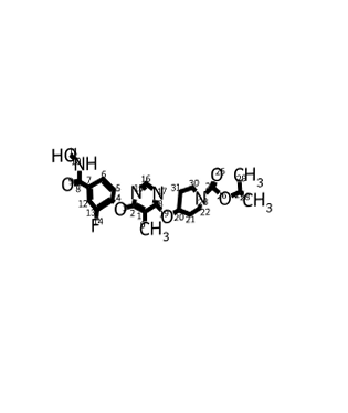 Cc1c(Oc2ccc(C(=O)NO)cc2F)ncnc1OC1CCN(C(=O)OC(C)C)CC1